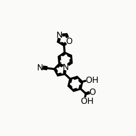 N#Cc1cc(-c2ccc(C(=O)O)c(O)c2)n2ccc(-c3cnco3)cc12